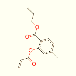 C=CCOC(=O)c1ccc(C)cc1OC(=O)C=C